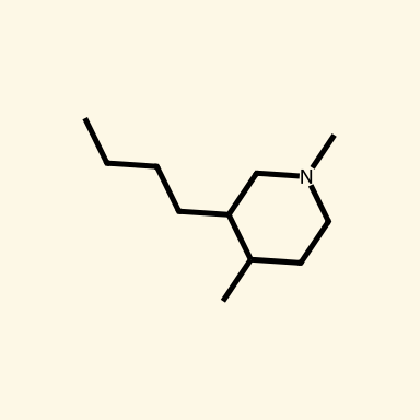 CCCCC1CN(C)CCC1C